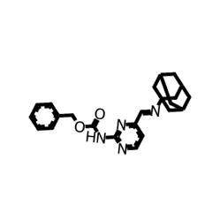 O=C(Nc1nccc(C=NC23CC4CC(CC(C4)C2)C3)n1)OCc1ccccc1